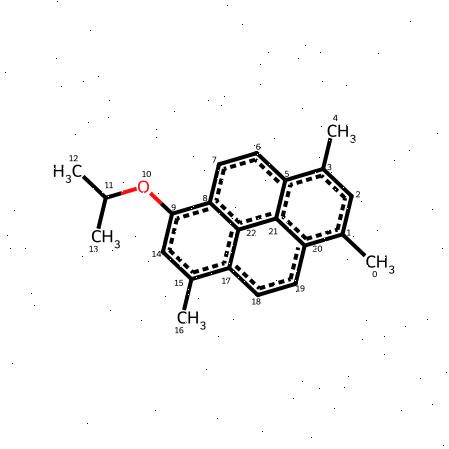 Cc1cc(C)c2ccc3c(OC(C)C)cc(C)c4ccc1c2c43